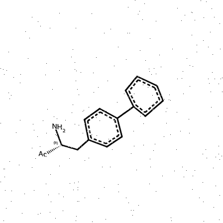 CC(=O)[C@H](N)Cc1ccc(-c2ccccc2)cc1